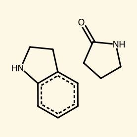 O=C1CCCN1.c1ccc2c(c1)CCN2